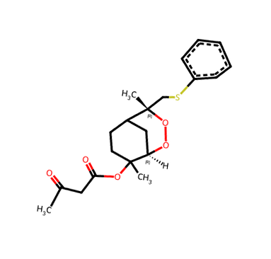 CC(=O)CC(=O)OC1(C)CCC2C[C@H]1OO[C@@]2(C)CSc1ccccc1